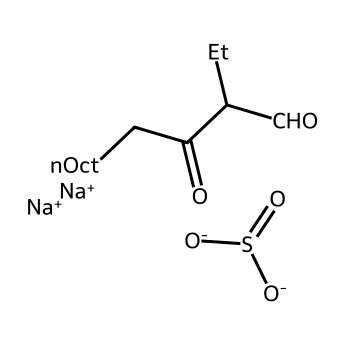 CCCCCCCCCC(=O)C(C=O)CC.O=S([O-])[O-].[Na+].[Na+]